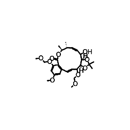 COCOc1cc(OC)cc2c1C(=O)O[C@@H](C)[C@H](C)/C=C\C(O)[C@H]1OC(C)(C)O[C@H]1C(OCOC)/C=C/2